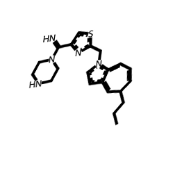 CCCC1C=CC=c2c(ccn2Cc2nc(C(=N)N3CCNCC3)cs2)=C1